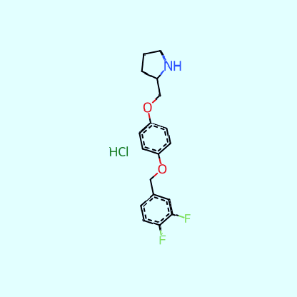 Cl.Fc1ccc(COc2ccc(OCC3CCCN3)cc2)cc1F